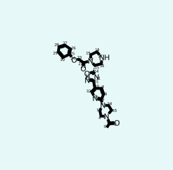 CC(=O)N1CCN(c2ccc(-c3noc([C@H]4CNCCN4C(=O)COc4ccccc4)n3)cn2)CC1